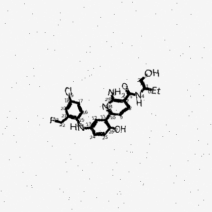 CCC(CO)NC(=O)c1ccc(-c2cc(Nc3ccc(Cl)cc3CF)ccc2O)nc1N